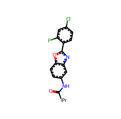 CC(C)C(=O)Nc1ccc2oc(-c3ccc(Cl)cc3F)nc2c1